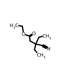 CCOC(=O)CC(C#N)(CC)CC